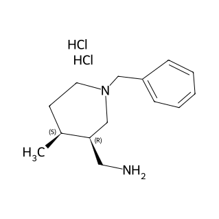 C[C@H]1CCN(Cc2ccccc2)C[C@H]1CN.Cl.Cl